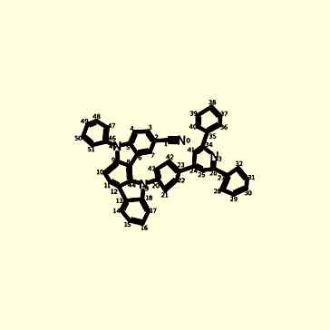 N#Cc1ccc2c(c1)c1c(ccc3c4ccccc4n(-c4ccc(-c5cc(-c6ccccc6)nc(-c6ccccc6)c5)cc4)c31)n2-c1ccccc1